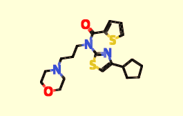 O=C(c1cccs1)N(CCCN1CCOCC1)c1nc(C2CCCC2)cs1